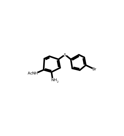 CC(=O)Nc1ccc(Sc2ccc(Br)cc2)cc1N